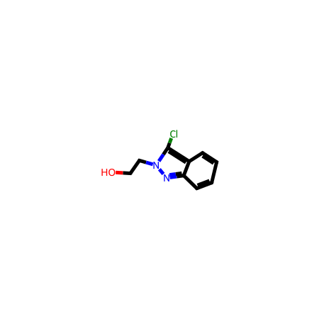 OCCn1nc2ccccc2c1Cl